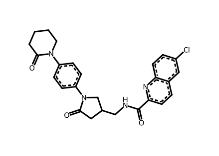 O=C(NCC1CC(=O)N(c2ccc(N3CCCCC3=O)cc2)C1)c1ccc2cc(Cl)ccc2n1